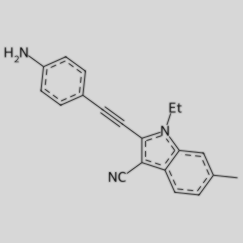 CCn1c(C#Cc2ccc(N)cc2)c(C#N)c2ccc(C)cc21